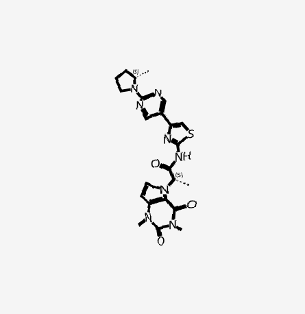 C[C@H]1CCCN1c1ncc(-c2csc(NC(=O)[C@H](C)n3ccc4c3c(=O)n(C)c(=O)n4C)n2)cn1